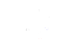 CC(C)C1C(=O)Nc2ccccc21